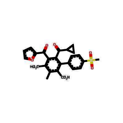 Cc1c(C(=O)O)c(C(=O)c2ccco2)c(C(=O)C2CC2)c(-c2ccc(S(C)(=O)=O)cc2)c1C(=O)O